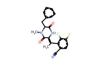 CC(=C1NC(=O)C(Cc2ccccc2)N(C)C1=O)c1c(C#N)ccc(F)c1F